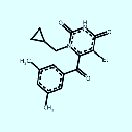 CCc1c(C(=O)c2cc(C)cc(C)c2)n(CC2CC2)c(=O)[nH]c1=O